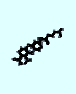 CNc1c([N+](=O)[O-])ncc(Oc2ccnc(NC(=O)OCCN(C)C)c2)c1Cl